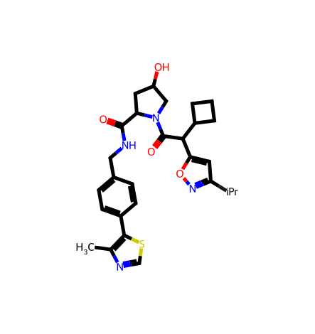 Cc1ncsc1-c1ccc(CNC(=O)C2CC(O)CN2C(=O)C(c2cc(C(C)C)no2)C2CCC2)cc1